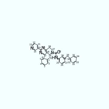 Cc1ccccc1-c1nc(-c2cccnc2)nc2c1CN(C(=O)Nc1cccc(Cc3ccccc3)c1)CC2